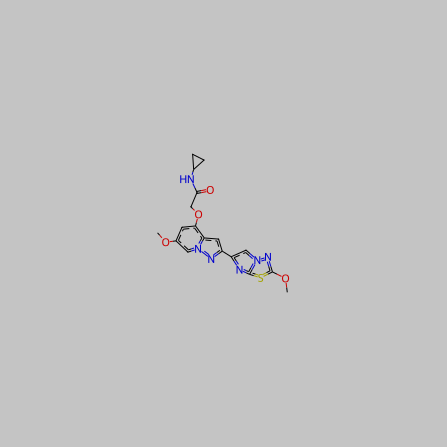 COc1cc(OCC(=O)NC2CC2)c2cc(-c3cn4nc(OC)sc4n3)nn2c1